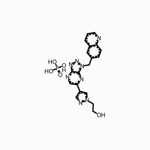 O=P(O)(O)O.OCCn1cc(-c2cnc3nnn(Cc4ccc5ncccc5c4)c3n2)cn1